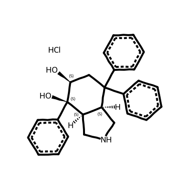 Cl.O[C@H]1CC(c2ccccc2)(c2ccccc2)[C@H]2CNC[C@H]2[C@]1(O)c1ccccc1